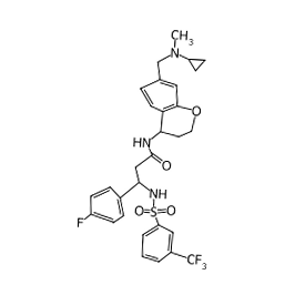 CN(Cc1ccc2c(c1)OCCC2NC(=O)CC(NS(=O)(=O)c1cccc(C(F)(F)F)c1)c1ccc(F)cc1)C1CC1